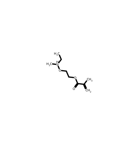 C=C(C)C(=O)OCCO[SiH](C)CC